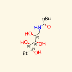 CCCCC(=O)NC[C@H](O)[C@@H](O)[C@H](O)[C@H](O)CC